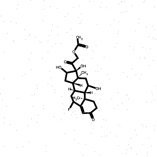 CC(=O)OCC(=O)[C@@]1(O)C(O)C[C@H]2[C@@H]3CC(F)C4=CC(=O)CC[C@]4(C)[C@H]3C(O)C[C@@]21C